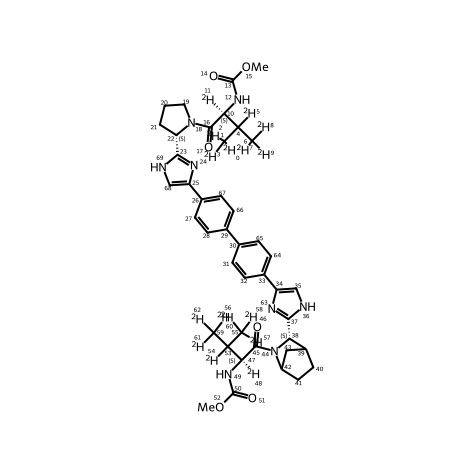 [2H]C([2H])([2H])C([2H])(C([2H])([2H])[2H])[C@]([2H])(NC(=O)OC)C(=O)N1CCC[C@H]1c1nc(-c2ccc(-c3ccc(-c4c[nH]c([C@@H]5C6CCC(C6)N5C(=O)[C@@]([2H])(NC(=O)OC)C([2H])(C([2H])([2H])[2H])C([2H])([2H])[2H])n4)cc3)cc2)c[nH]1